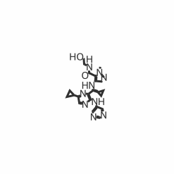 Cn1ncc(NC(=C2CC2)c2nc(C3CC3)cnc2Nc2cncnc2)c1C(=O)NCCO